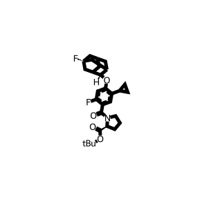 CC(C)(C)OC(=O)[C@@H]1CCCN1C(=O)c1cc(C2CC2)c(O[C@H]2C3CC4CC2C[C@](F)(C4)C3)cc1F